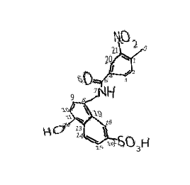 Cc1ccc(C(=O)Nc2ccc(O)c3ccc(S(=O)(=O)O)cc23)cc1[N+](=O)[O-]